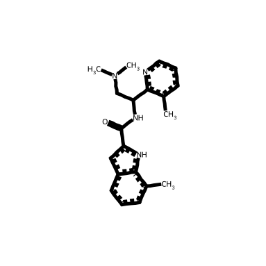 Cc1cccnc1C(CN(C)C)NC(=O)c1cc2cccc(C)c2[nH]1